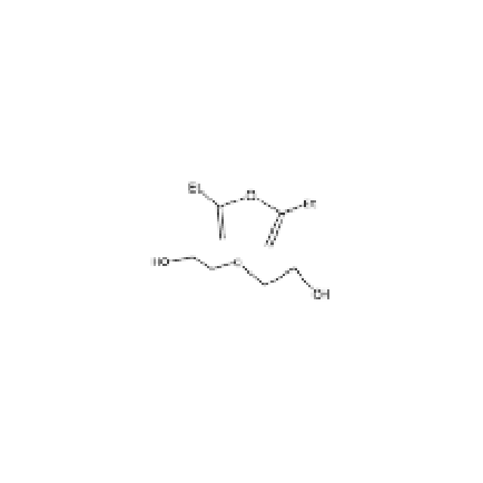 C=C(CC)OC(=C)CC.OCCOCCO